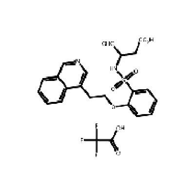 O=C(O)C(F)(F)F.O=CC(CC(=O)O)NS(=O)(=O)c1ccccc1OCCc1cncc2ccccc12